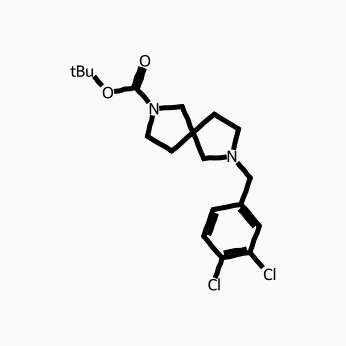 CC(C)(C)OC(=O)N1CCC2(CCN(Cc3ccc(Cl)c(Cl)c3)C2)C1